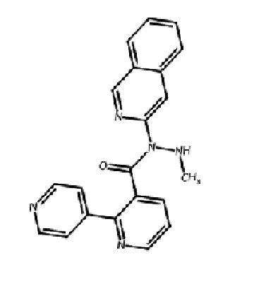 CNN(C(=O)c1cccnc1-c1ccncc1)c1cc2ccccc2cn1